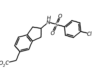 O=C(O)Cc1ccc2c(c1)CC(NS(=O)(=O)c1ccc(Cl)cc1)C2